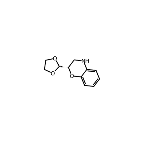 c1ccc2c(c1)NC[C@@H](C1OCCO1)O2